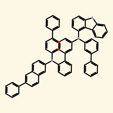 c1ccc(-c2ccc(N(c3ccc4cc(-c5ccccc5)ccc4c3)c3ccccc3-c3cccc(N(c4cccc(-c5ccccc5)c4)c4cccc5sc6ccccc6c45)c3)cc2)cc1